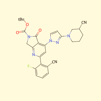 CC(C)(C)OC(=O)N1Cc2nc(-c3c(F)cccc3C#N)cc(-n3ccc(N4CCCC(C#N)C4)n3)c2C1=O